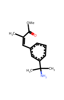 COC(=O)C(C)=Cc1cccc(C(C)(C)N)c1